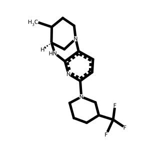 CC1CCN2C[C@H]1Nc1nc(N3CCCC(C(F)(F)F)C3)ccc12